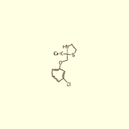 O=CC1(COc2cccc(Cl)c2)NCCS1